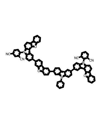 N#Cc1ccc(-n2c3ccc(-c4ccc5c(c4)oc4ccc(-c6ccc7c8cc(-c9ccc%10c(c9)c9c%11oc%12ccccc%12c%11ccc9n%10-c9c(C#N)cccc9C#N)ccc8n(-c8ccccc8)c7c6)cc45)cc3c3c4oc5ccccc5c4ccc32)c(C#N)c1